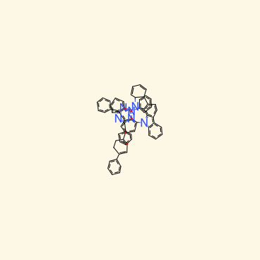 C1=CC2c3ccc4c5ccccc5n(-c5cc(C6=CC=C(c7ccccc7)CC6)cc6c7ccccc7n(-c7ccccc7)c56)c4c3N(c3nc(-c4ccccc4)nc(-c4ccccc4)n3)C2C=C1